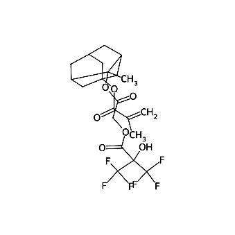 C=C(C)C(=O)OC12CC3CC(C1)C(C)(OC(=O)COC(=O)C(O)(C(F)(F)F)C(F)(F)F)C(C3)C2